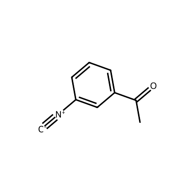 [C-]#[N+]c1cccc(C(C)=O)c1